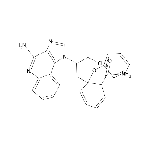 CCC(CC1(Oc2ccccc2)C=CC=CC1C(N)=O)n1cnc2c(N)nc3ccccc3c21